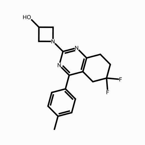 Cc1ccc(-c2nc(N3CC(O)C3)nc3c2CC(F)(F)CC3)cc1